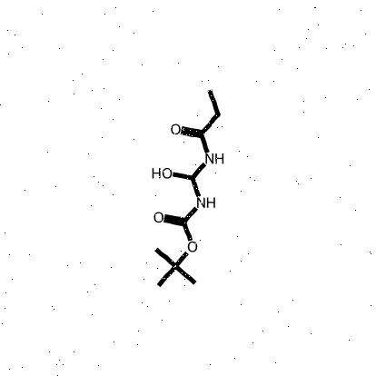 CCC(=O)NC(O)NC(=O)OC(C)(C)C